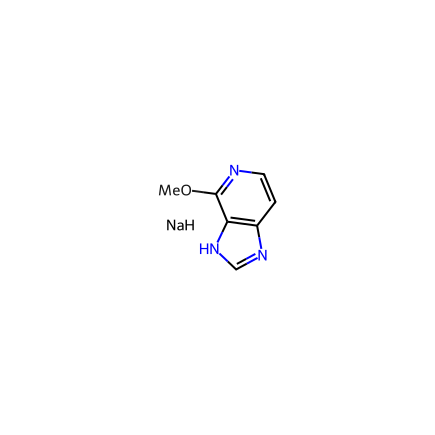 COc1nccc2nc[nH]c12.[NaH]